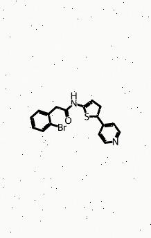 O=C(Cc1ccccc1Br)NC1=CCC(c2ccncc2)S1